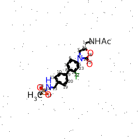 CC(=O)NC[C@H]1CN(c2ccc(-c3ccc(CNS(C)(=O)=O)cc3)c(F)c2)C(=O)O1